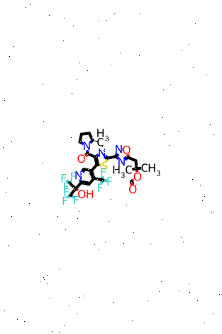 C[C@H]1CCCN1C(=O)c1nc(-c2noc(CC(C)(C)OC=O)n2)sc1-c1cnc(C(O)(C(F)(F)F)C(F)(F)F)cc1C(F)(F)F